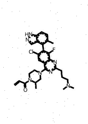 C=CC(=O)N1CCN(c2nc(CCCN(C)C)nc3c(F)c(-c4c(C)ccc5[nH]ncc45)c(Cl)cc23)CC1C